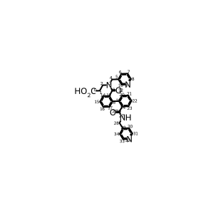 O=C(O)CCN(Cc1cccnc1)C(=O)c1ccccc1-c1ccccc1C(=O)NCc1ccncc1